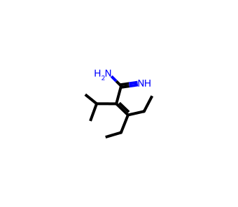 CCC(CC)=C(C(=N)N)C(C)C